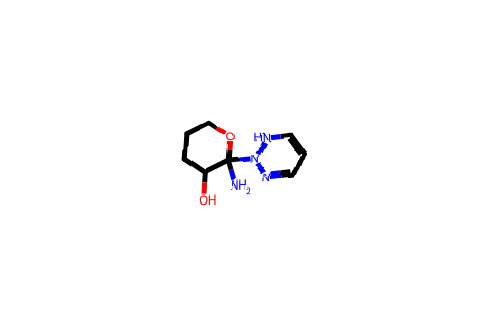 NC1(N2N=CC=CN2)OCCCC1O